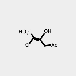 CC(=O)C/C(O)=C(\Cl)C(=O)O